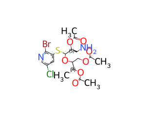 CC(=O)OCC(OC(Sc1cc(Cl)cnc1Br)[C@H](CN)OC(C)=O)[C@@H](C)OC(C)=O